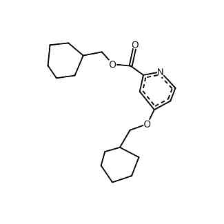 O=C(OCC1CCCCC1)c1cc(OCC2CCCCC2)ccn1